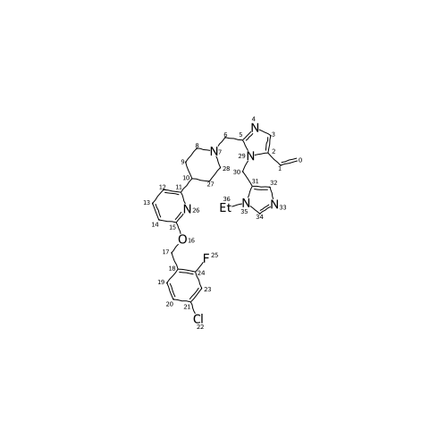 C=Cc1cnc(CN2CCC(c3cccc(OCc4ccc(Cl)cc4F)n3)CC2)n1Cc1cncn1CC